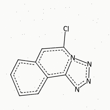 Clc1cc2ccccc2c2nnnn12